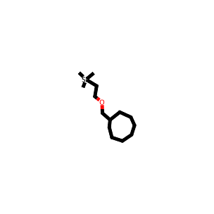 C[Si](C)(C)CCOCC1CCCCCCC1